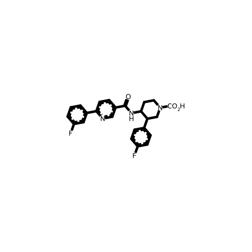 O=C(NC1CCN(C(=O)O)CC1c1ccc(F)cc1)c1ccc(-c2cccc(F)c2)nc1